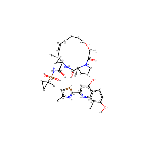 COc1ccc2c(O[C@@H]3C[C@H]4C(=O)N[C@]5(C(=O)NS(=O)(=O)C6(C)CC6)C[C@H]5/C=C\CCCCO[C@H](C)C(=O)N4C3)cc(-c3nc(C)cs3)nc2c1C